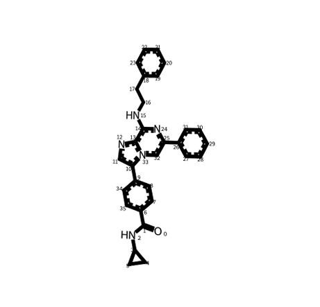 O=C(NC1CC1)c1ccc(-c2cnc3c(NCCc4ccccc4)nc(-c4ccccc4)cn23)cc1